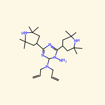 C=CCN(CC=C)C1N=C(C2CC(C)(C)NC(C)(C)C2)N=C(C2CC(C)(C)NC(C)(C)C2)N1N